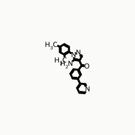 Cc1ccc(-n2ncc(C(=O)c3cccc(-c4cccnc4)c3)c2N)c(C)c1